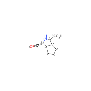 O=C=C1NC(C(=O)O)C2CCCC12